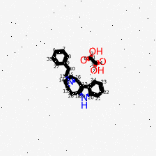 O=C(O)C(=O)O.c1ccc(CCN2C3CCC2c2c([nH]c4ccccc24)C3)cc1